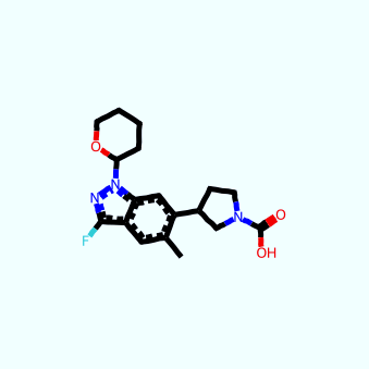 Cc1cc2c(F)nn(C3CCCCO3)c2cc1C1CCN(C(=O)O)C1